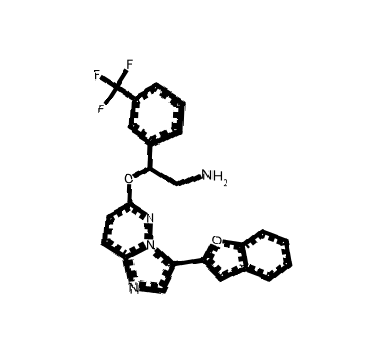 NCC(Oc1ccc2ncc(-c3cc4ccccc4o3)n2n1)c1cccc(C(F)(F)F)c1